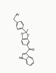 CC(C)Cc1ccc(C2(C)Oc3ccc(C(=O)c4c[nH]c5ccccc45)cc3O2)cc1